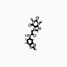 Cc1nc2cc(NC(=O)Cn3cnc4c3c(=O)n(C)c(=O)n4C)ccc2s1